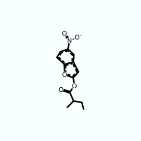 CCC(C)C(=O)Oc1cc2cc([N+](=O)[O-])ccc2o1